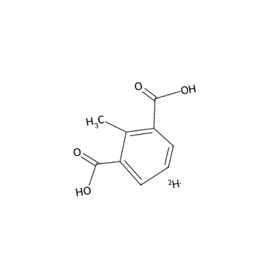 Cc1c(C(=O)O)cccc1C(=O)O.[2H]